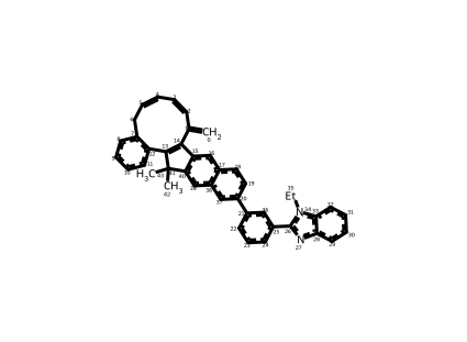 C=C1/C=C\C=C/Cc2ccccc2C2=C1c1cc3ccc(-c4cccc(-c5nc6ccccc6n5CC)c4)cc3cc1C2(C)C